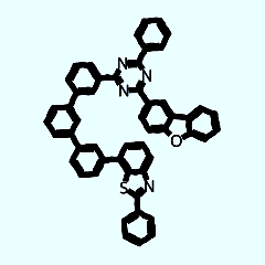 c1ccc(-c2nc(-c3cccc(-c4cccc(-c5cccc(-c6cccc7nc(-c8ccccc8)sc67)c5)c4)c3)nc(-c3ccc4oc5ccccc5c4c3)n2)cc1